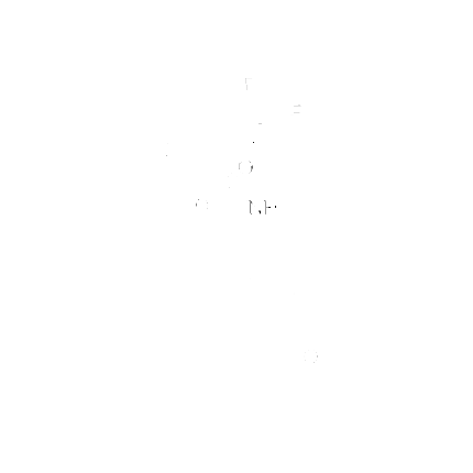 COc1ccc(CNS(=O)(=O)c2ccccc2C(F)(F)F)cc1